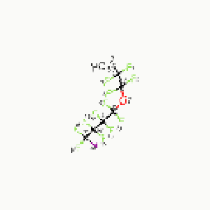 O=S(=O)(O)C(F)(F)C(F)(F)OC(F)(F)C(F)(F)C(F)(F)C(F)(F)I